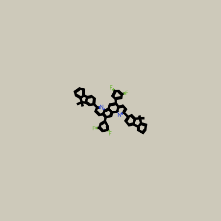 CC1(C)c2ccccc2-c2ccc(-c3ccc4c(-c5cc(F)cc(F)c5)cc5c(cc(-c6cc(F)cc(F)c6)c6ccc(-c7ccc8c(c7)C(C)(C)c7ccccc7-8)nc65)c4n3)cc21